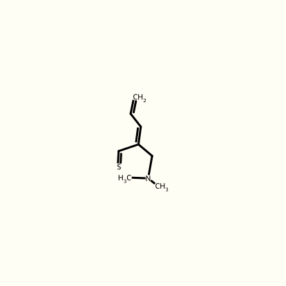 C=C/C=C(\C=S)CN(C)C